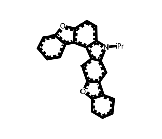 CC(C)n1c2cc3c(cc2c2c4c(ccc21)oc1ccccc14)oc1ccccc13